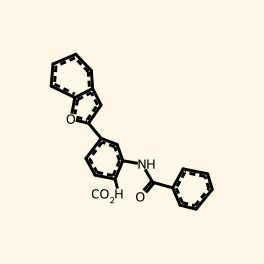 O=C(Nc1cc(-c2cc3ccccc3o2)ccc1C(=O)O)c1ccccc1